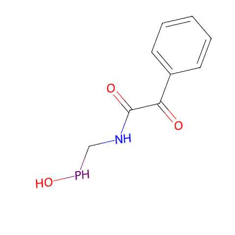 O=C(NCPO)C(=O)c1ccccc1